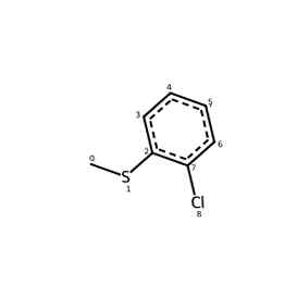 CSc1cc[c]cc1Cl